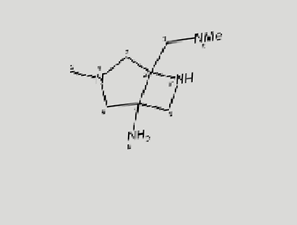 CNCC12CN(C)CC1(N)CN2